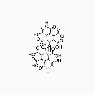 O=C(O)c1c(NC(=O)c2c(C(=O)O)c(C(=O)O)c(C(=O)O)c(C(=O)O)c2C(=O)O)c(C(=O)O)c(C(=O)O)c(C(=O)O)c1C(=O)O